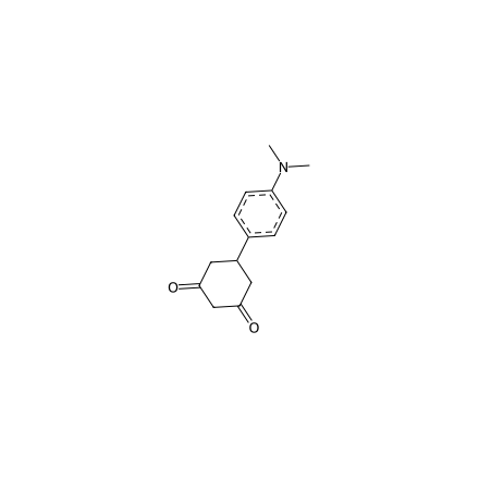 CN(C)c1ccc(C2CC(=O)CC(=O)C2)cc1